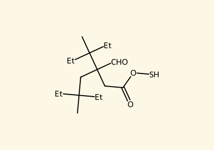 CCC(C)(CC)CC(C=O)(CC(=O)OS)C(C)(CC)CC